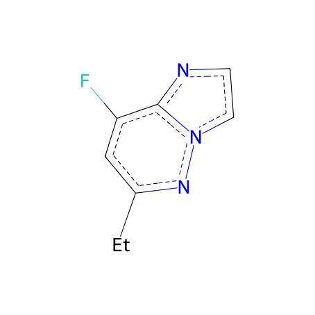 CCc1cc(F)c2nccn2n1